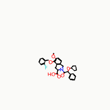 COc1ccc2c(c1OCc1ccccc1F)CC(C(=O)O)N(C(=O)C(OC1CCCC1)c1ccccc1)C2